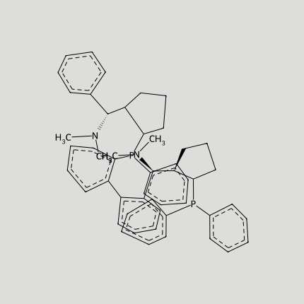 CN(C)[C@H](c1ccccc1)C1CCCC1P(c1ccccc1)c1ccccc1-c1ccccc1[C@H]([C@H]1CCCC1P(c1ccccc1)c1ccccc1)N(C)C